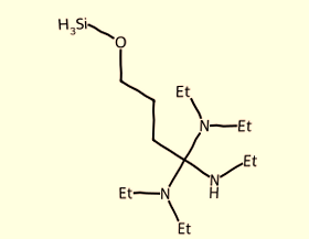 CCNC(CCCO[SiH3])(N(CC)CC)N(CC)CC